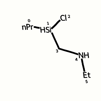 CCC[SiH](Cl)CNCC